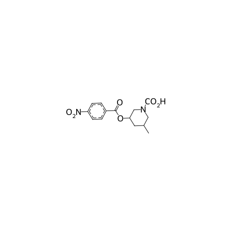 CC1CC(OC(=O)c2ccc([N+](=O)[O-])cc2)CN(C(=O)O)C1